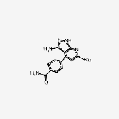 CC(C)(C)c1cc(-c2ccc(C(N)=O)cc2)c2c(N)n[nH]c2n1